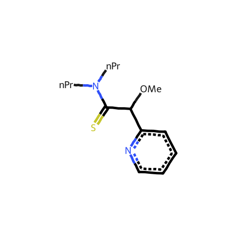 CCCN(CCC)C(=S)C(OC)c1ccccn1